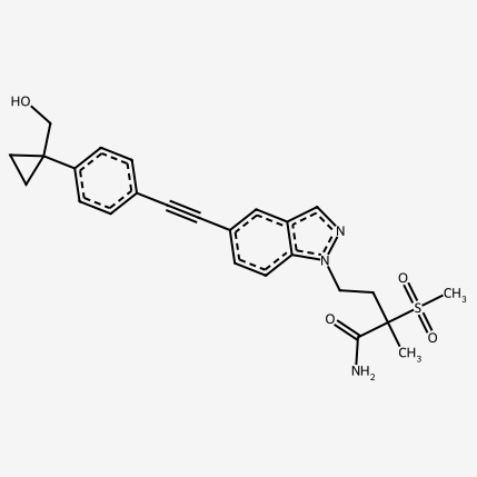 CC(CCn1ncc2cc(C#Cc3ccc(C4(CO)CC4)cc3)ccc21)(C(N)=O)S(C)(=O)=O